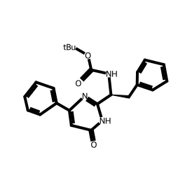 CC(C)(C)OC(=O)N[C@@H](Cc1ccccc1)c1nc(-c2ccccc2)cc(=O)[nH]1